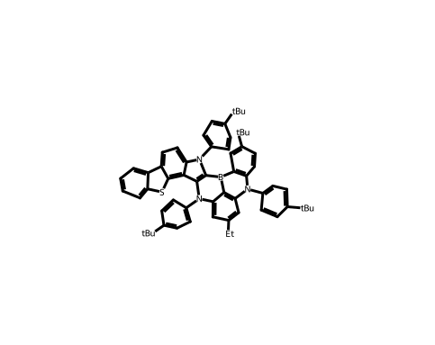 CCc1cc2c3c(c1)N(c1ccc(C(C)(C)C)cc1)c1c(n(-c4ccc(C(C)(C)C)cc4)c4ccc5c6ccccc6sc5c14)B3c1cc(C(C)(C)C)ccc1N2c1ccc(C(C)(C)C)cc1